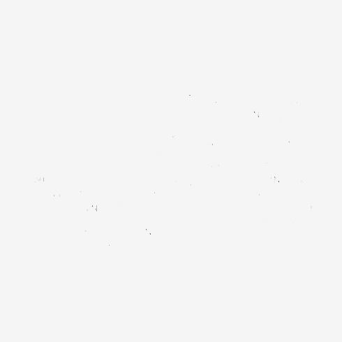 CC(C)(C)OC(=O)N1CCC(Nc2ccc3c(c2)Sc2cccc(-c4cc(N5CCOCC5)cc(=O)[nH]4)c2S3)C1